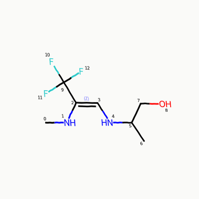 CN/C(=C\NC(C)CO)C(F)(F)F